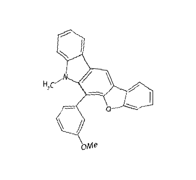 COc1cccc(-c2c3oc4ccccc4c3cc3c4ccccc4n(C)c23)c1